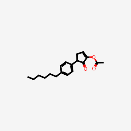 CCCCCCc1ccc(C2CC=C(OC(C)=O)C2=O)cc1